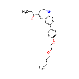 CCCCOCCOc1ccc(-c2ccc3c(c2)C=C(C(=O)CC)CCN3)cc1